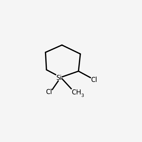 C[Si]1(Cl)CCCCC1Cl